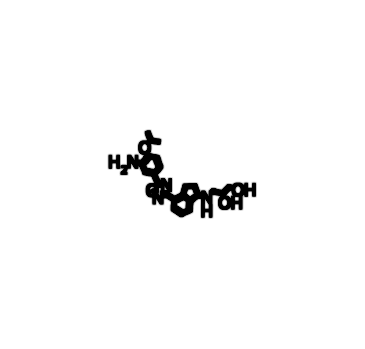 CC(C)Oc1ccc(-c2nc(-c3cccc4c3CCC4NC[C@@H](O)CO)no2)cc1N